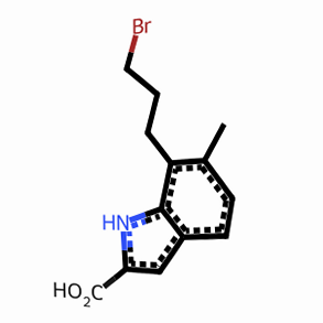 Cc1ccc2cc(C(=O)O)[nH]c2c1CCCBr